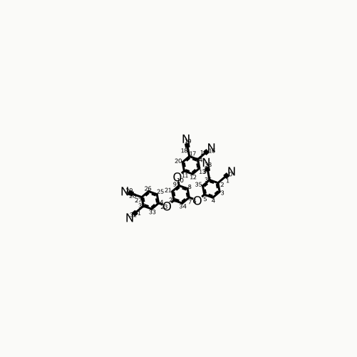 N#Cc1ccc(Oc2cc(Oc3ccc(C#N)c(C#N)c3)cc(Oc3ccc(C#N)c(C#N)c3)c2)cc1C#N